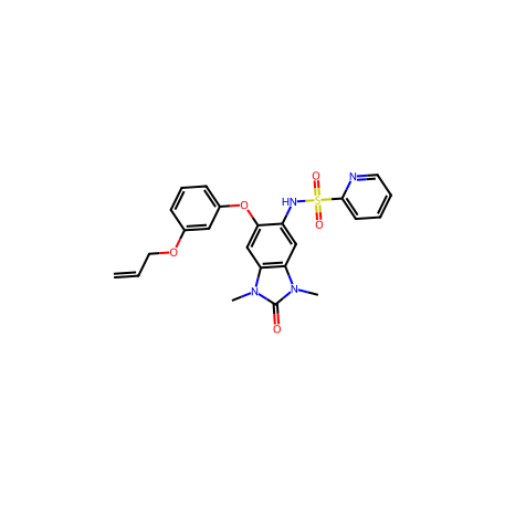 C=CCOc1cccc(Oc2cc3c(cc2NS(=O)(=O)c2ccccn2)n(C)c(=O)n3C)c1